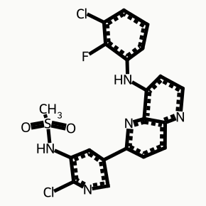 CS(=O)(=O)Nc1cc(-c2ccc3nccc(Nc4cccc(Cl)c4F)c3n2)cnc1Cl